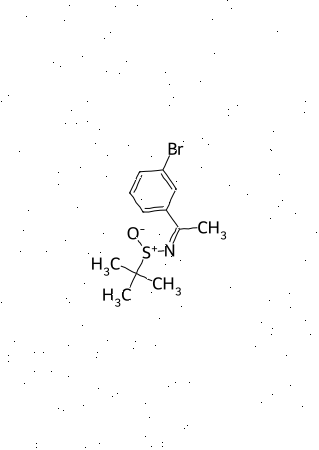 C/C(=N/[S+]([O-])C(C)(C)C)c1cccc(Br)c1